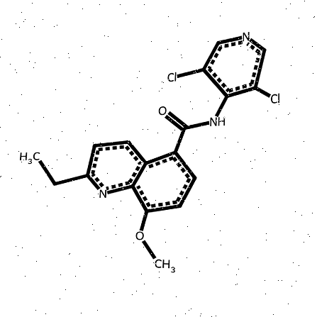 CCc1ccc2c(C(=O)Nc3c(Cl)cncc3Cl)ccc(OC)c2n1